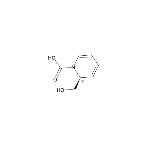 O=C(O)N1C=CC=C[C@H]1CO